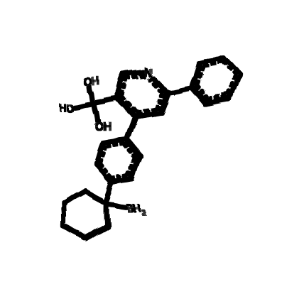 BC1(c2ccc(-c3cc(-c4ccccc4)ncc3C(O)(O)O)cc2)CCCCC1